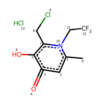 Cc1cc(=O)c(O)c(CCl)n1CC(F)(F)F.Cl